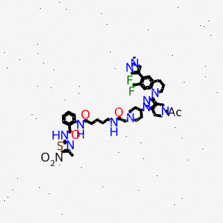 CC(=O)N1CCc2c(c(N3CCCc4cc(-c5cnn(C)c5)c(C(F)F)cc43)nn2C2CCN(CC(=O)NCCCCC(=O)Nc3ccccc3C(=O)Nc3nc(C)c([N+](=O)[O-])s3)CC2)C1